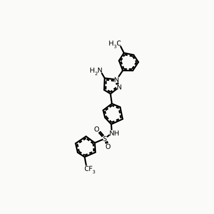 Cc1cccc(-n2nc(-c3ccc(NS(=O)(=O)c4cccc(C(F)(F)F)c4)cc3)cc2N)c1